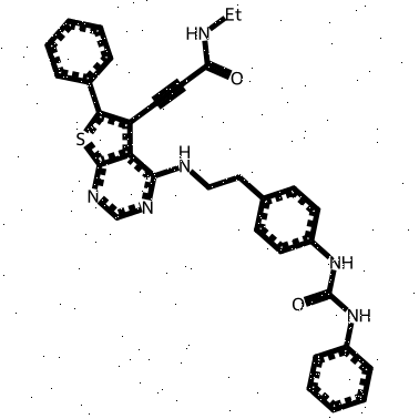 CCNC(=O)C#Cc1c(-c2ccccc2)sc2ncnc(NCCc3ccc(NC(=O)Nc4ccccc4)cc3)c12